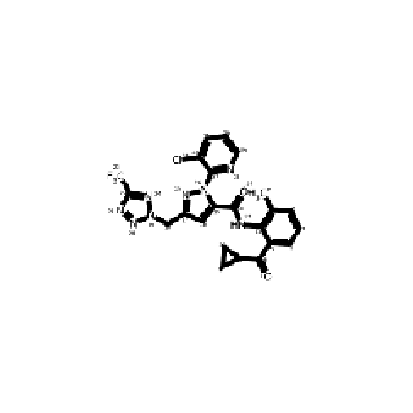 Cc1cccc(C(=O)C2CC2)c1NC(=O)c1cc(Cn2nnc(C(F)(F)F)n2)nn1-c1ncccc1Cl